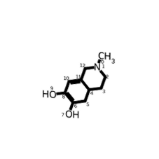 CN1CCC2CC(O)=C(O)C=C2C1